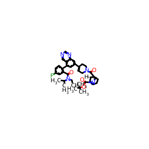 CCN(C(=O)c1cc(F)ccc1-c1cc(C2=CCN(C(=O)[C@H]3C4CCC(CC4)N3C(=O)OC(C)(C)C)CC2)cc2ncncc12)C(C)C